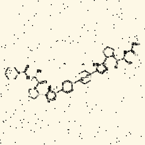 COC(=O)N[C@H](C(=O)N1CCCC1c1ncc(C23CCC(c4ccc(-c5cnc([C@@H]6CCCN6C(=O)[C@H](NC(=O)N6CCCCC6)C(C)C)[nH]5)cc4)(CC2)CC3)[nH]1)C(C)C